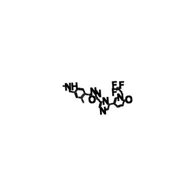 CNCc1ccc(-c2nnc(-c3cncc(-c4ccc(=O)n(CC(F)(F)F)c4)n3)o2)c(C)c1